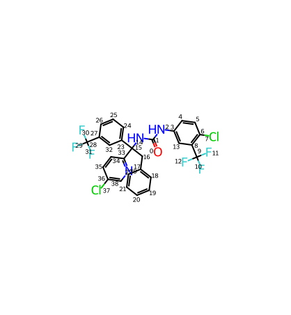 O=C(Nc1ccc(Cl)c(C(F)(F)F)c1)NC(Cc1ccccc1)(c1cccc(C(F)(F)F)c1)c1ccc(Cl)cn1